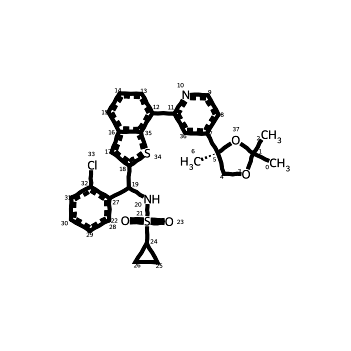 CC1(C)OC[C@@](C)(c2ccnc(-c3cccc4cc(C(NS(=O)(=O)C5CC5)c5ccccc5Cl)sc34)c2)O1